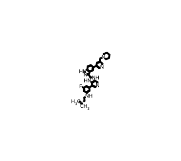 CN(C)CCNc1cc(F)cc(-c2cncc3c2NC(c2n[nH]c4ccc(-c5cncc(CN6CCCCC6)c5)cc24)N3)c1